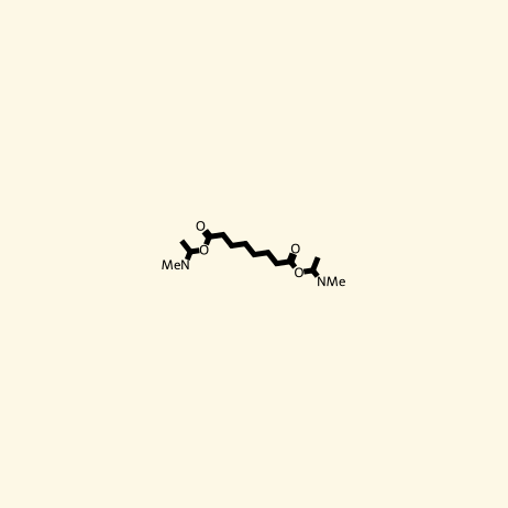 CNC(C)OC(=O)CCCCCCC(=O)OC(C)NC